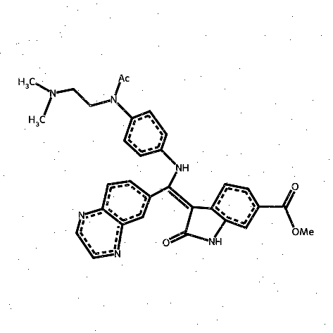 COC(=O)c1ccc2c(c1)NC(=O)C2=C(Nc1ccc(N(CCN(C)C)C(C)=O)cc1)c1ccc2nccnc2c1